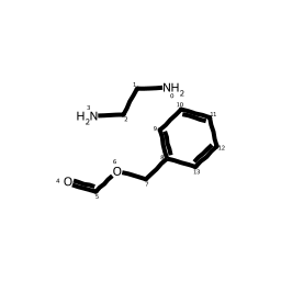 NCCN.O=COCc1ccccc1